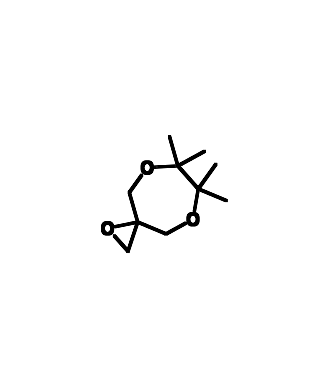 CC1(C)OCC2(CO2)COC1(C)C